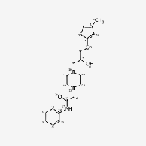 Cc1csc(OCC(O)CN2CCN(CC(=O)Nc3ccccc3)CC2)c1